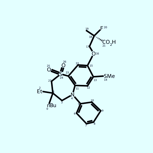 CCCCC1(CC)CN(c2ccccc2)c2cc(SC)c(OC[C@@](C)(F)C(=O)O)cc2S(=O)(=O)C1